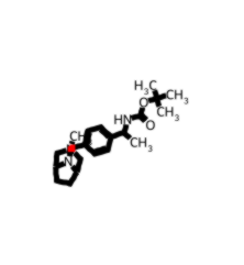 CC(NC(=O)OC(C)(C)C)c1ccc(CN2C3CCC2CN(C)C3)cc1